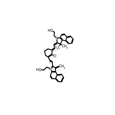 C=C1C(/C=C/C2=C(Cl)C(=C/C=C3/N(CCO)c4ccc5ccccc5c4C3(C)C)/CCC2)=[N+](CCO)c2ccc3ccccc3c21